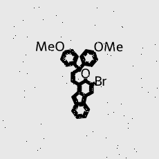 COc1ccc(C2(c3ccc(OC)cc3)C=CC3=C4C=c5ccccc5=C4C=C(Br)C3O2)cc1